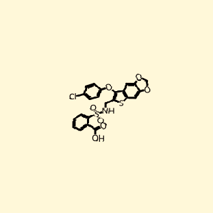 O=C(O)c1ccccc1S(=O)(=O)NCc1sc2cc3c(cc2c1Oc1ccc(Cl)cc1)OCO3